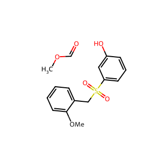 COC=O.COc1ccccc1CS(=O)(=O)c1cccc(O)c1